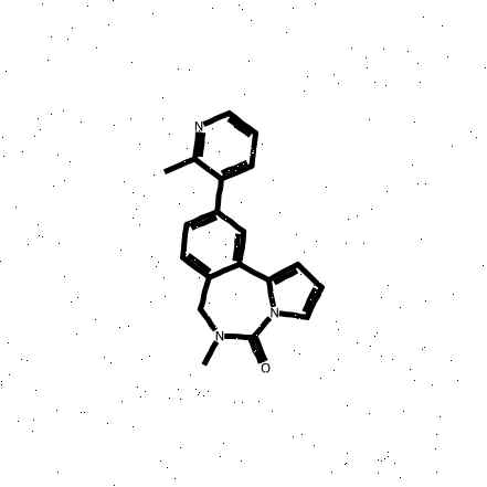 Cc1ncccc1-c1ccc2c(c1)-c1cccn1C(=O)N(C)C2